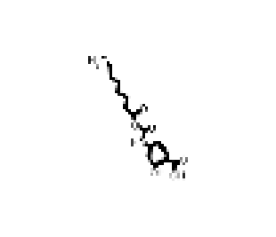 CCCCCCCC(=O)OC(=O)Nc1ccc(C(=O)O)c(O)c1